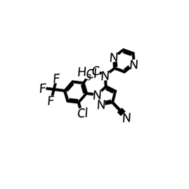 CN(c1cnccn1)c1cc(C#N)nn1-c1c(Cl)cc(C(F)(F)F)cc1Cl